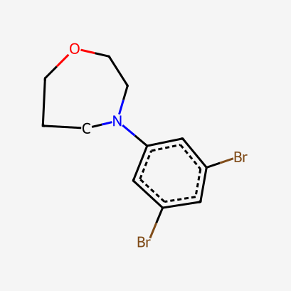 Brc1cc(Br)cc(N2CCCOCC2)c1